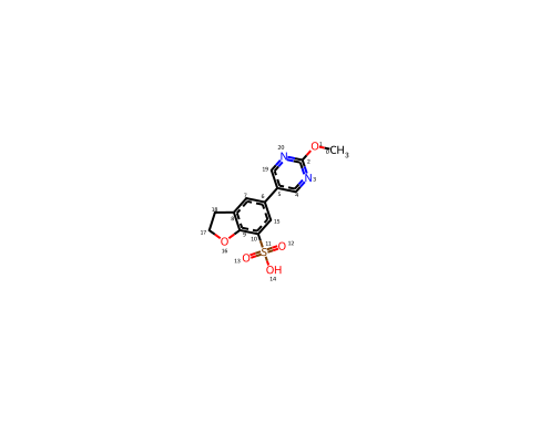 COc1ncc(-c2cc3c(c(S(=O)(=O)O)c2)OCC3)cn1